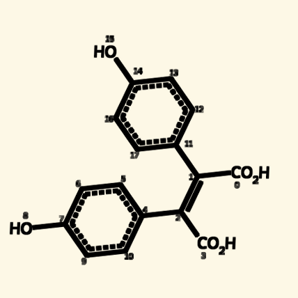 O=C(O)C(=C(C(=O)O)c1ccc(O)cc1)c1ccc(O)cc1